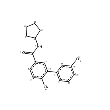 N#Cc1ncc(C(=O)NC2CCCC2)cc1-c1ccnc(C(F)(F)F)c1